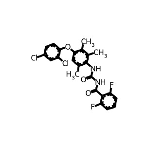 Cc1cc(Oc2ccc(Cl)cc2Cl)c(C)c(C)c1NC(=O)NC(=O)c1c(F)cccc1F